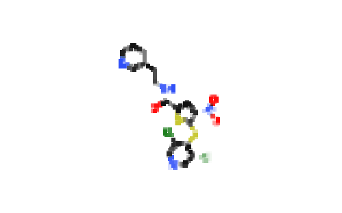 O=C(NCCc1cccnc1)c1cc([N+](=O)[O-])c(Sc2c(Cl)cncc2Cl)s1